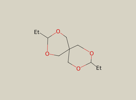 CCC1OCC2(CO1)COC(CC)OC2